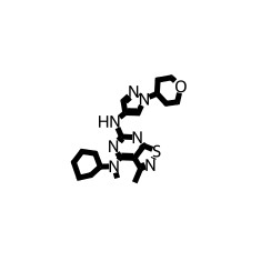 Cc1nsc2nc(Nc3cnn(C4CCOCC4)c3)nc(N(C)C3CCCCC3)c12